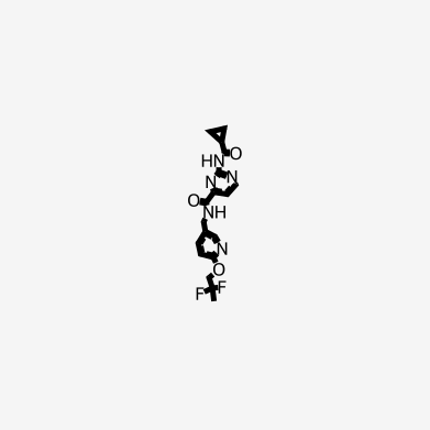 CC(F)(F)COc1ccc(CNC(=O)c2ccnc(NC(=O)C3CC3)n2)cn1